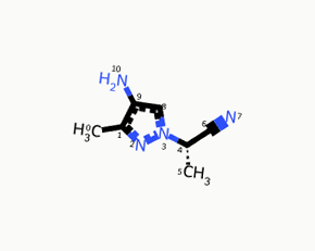 Cc1nn([C@@H](C)C#N)cc1N